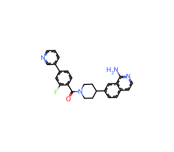 Nc1nccc2ccc(C3CCN(C(=O)c4ccc(-c5cccnc5)cc4F)CC3)cc12